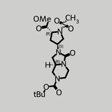 COC(=O)[C@H]1C[C@H](N2C[C@@H]3CN(C(=O)OC(C)(C)C)CCN3C2=O)CN1S(C)(=O)=O